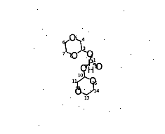 O=[PH](OC1COCCO1)OC1COCCO1